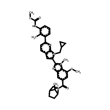 COC(=O)Nc1cccc(-c2ccc3cc(-c4nc5cc(C(=O)N6CC7CCC6[C@@H]7C)cc(OC)c5n4C)n(CC4CC4)c3n2)c1C